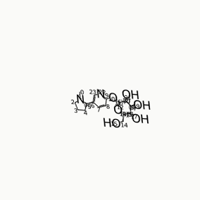 CN1CCC[C@@H]1c1ccc(O[C@@H]2O[C@H](CO)[C@@H](O)[C@H](O)[C@H]2O)nc1